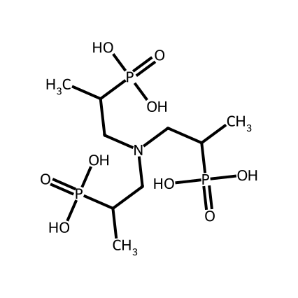 CC(CN(CC(C)P(=O)(O)O)CC(C)P(=O)(O)O)P(=O)(O)O